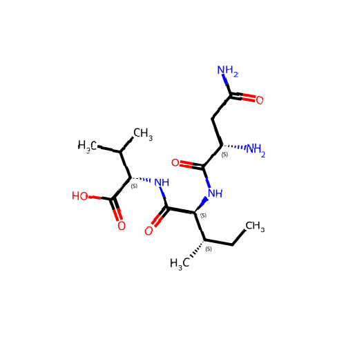 CC[C@H](C)[C@H](NC(=O)[C@@H](N)CC(N)=O)C(=O)N[C@H](C(=O)O)C(C)C